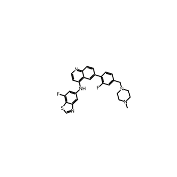 CN1CCN(Cc2ccc(-c3ccc4nccc(Nc5cc(F)c6scnc6c5)c4c3)c(F)c2)CC1